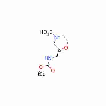 CC(C)(C)OC(=O)NC[C@H]1CN(C(=O)O)CCO1